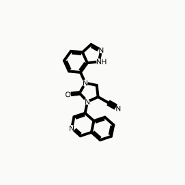 N#CC1CN(c2cccc3cn[nH]c23)C(=O)N1c1cncc2ccccc12